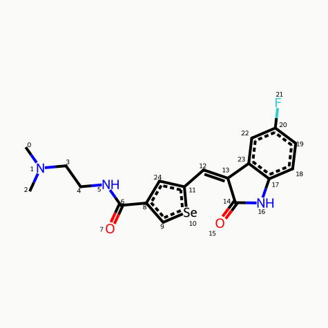 CN(C)CCNC(=O)c1c[se]c(/C=C2\C(=O)Nc3ccc(F)cc32)c1